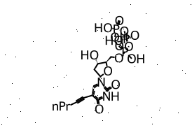 CCCC#Cc1cn([C@H]2C[C@H](O)[C@@H](COP(=O)(O)OP(=O)(O)OP(=O)(O)O)O2)c(=O)[nH]c1=O